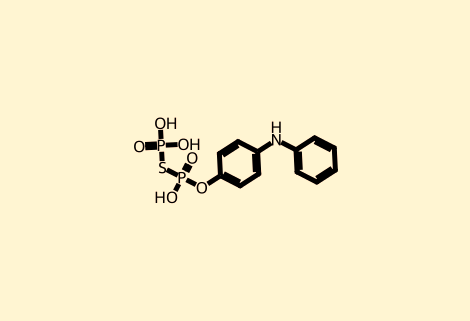 O=P(O)(O)SP(=O)(O)Oc1ccc(Nc2ccccc2)cc1